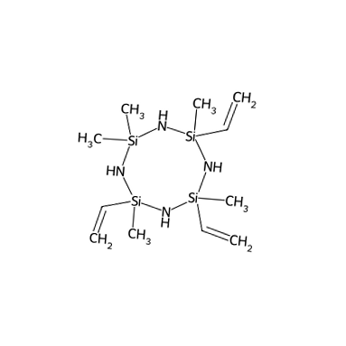 C=C[Si]1(C)N[Si](C)(C)N[Si](C)(C=C)N[Si](C)(C=C)N1